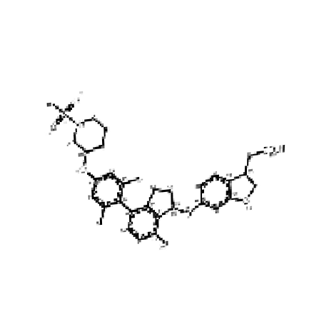 Cc1cc(O[C@@H]2CCCN(S(C)(=O)=O)C2)cc(C)c1-c1ccc(F)c2c1CC[C@H]2Oc1ccc2c(c1)OCC2CC(=O)O